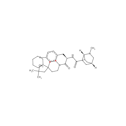 CN1C[C@@H]2CC[C@H]1C(C(=O)N[C@H](Cc1ccc(F)cc1)C(=O)N1CCC(CC(C)(C)C)(C3CCCCC3)CC1)C2